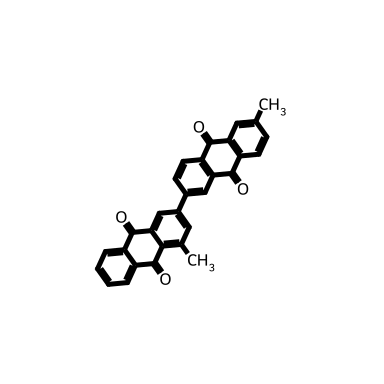 Cc1ccc2c(c1)C(=O)c1ccc(-c3cc(C)c4c(c3)C(=O)c3ccccc3C4=O)cc1C2=O